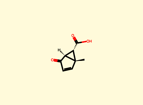 C[C@@]12C=CC(=O)[C@H]1[C@@H]2C(=O)O